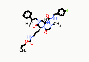 C=CCOC(=O)NCCC[C@H]1C(=O)N(CC(C)c2ccccc2)C[C@H]2N1C(=O)CN(C)N2C(=O)NCc1ccc(F)cc1